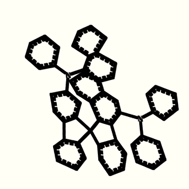 c1ccc(N(c2ccccc2)c2cc3ccccc3c3c2-c2ccccc2C32c3ccccc3-c3ccc(N(c4ccccc4)c4cccc5ccccc45)cc32)cc1